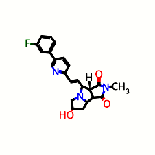 CN1C(=O)C2C3CC(O)CN3C(C=Cc3ccc(-c4cccc(F)c4)cn3)[C@@H]2C1=O